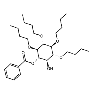 CCCCO[C@@H]1[C@@H](OCCCC)[C@H](OCCCC)[C@@H](O)[C@H](OC(=O)c2ccccc2)[C@H]1OCCCC